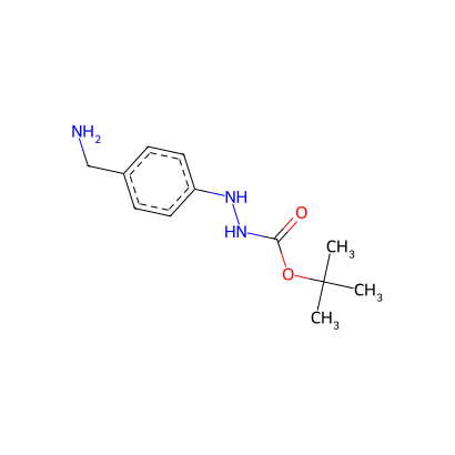 CC(C)(C)OC(=O)NNc1ccc(CN)cc1